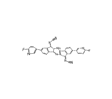 N#C/N=C1/c2cc(-c3ccc(F)nc3)ccc2C2=NC3=C(NC21)c1ccc(-c2ccc(F)nc2)cc1/C3=N\C#N